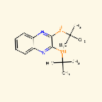 CC(C)(C)Pc1nc2ccccc2nc1PC(C)(C)C